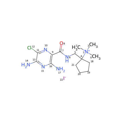 C[N+](C)(C)C1(CNC(=O)c2nc(Cl)c(N)nc2N)CCCC1.[I-]